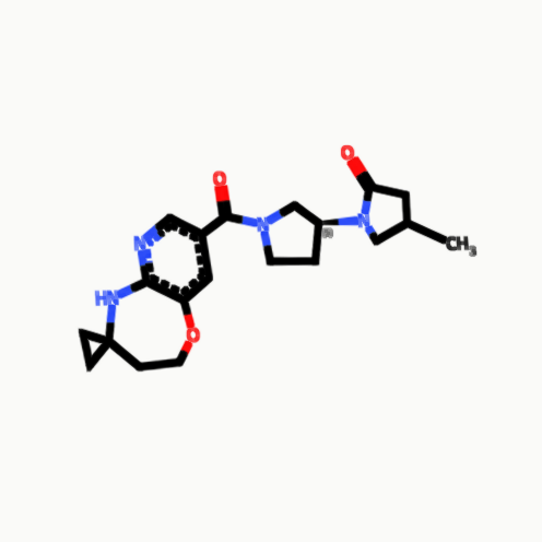 CC1CC(=O)N([C@H]2CCN(C(=O)c3cnc4c(c3)OCCC3(CC3)N4)C2)C1